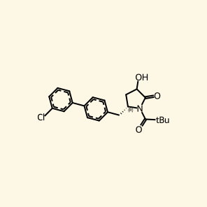 CC(C)(C)C(=O)N1C(=O)C(O)C[C@H]1Cc1ccc(-c2cccc(Cl)c2)cc1